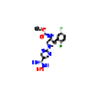 CC(C)(C)OC(=O)N[C@H]1CN(c2ncc(C(=N)NO)cn2)C[C@@H]1c1cc(F)ccc1F